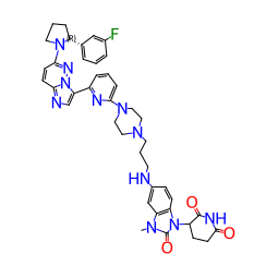 Cn1c(=O)n(C2CCC(=O)NC2=O)c2ccc(NCCCN3CCN(c4cccc(-c5cnc6ccc(N7CCC[C@@H]7c7cccc(F)c7)nn56)n4)CC3)cc21